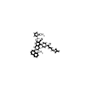 Cc1cccc2cccc(N3CCc4c(nc(OC[C@@H]5CCCN5C)c(C#N)c4N4CCN(C(=O)/C=C/CN5CC(F)C5)CC4)C3)c12